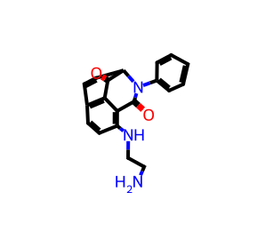 NCCNc1ccc2c3c1C(=O)N(c1ccccc1)C(C=C2)C3=O